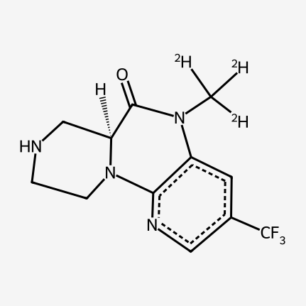 [2H]C([2H])([2H])N1C(=O)[C@@H]2CNCCN2c2ncc(C(F)(F)F)cc21